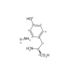 N.N[C@@H](Cc1ccc(O)cc1)C(=O)O.[V]